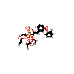 CCC(=O)OC(CC)OP(=O)(OC(CC)OC(=O)CC)C(CCCc1cccc(Oc2ccccc2)c1)S(=O)(=O)O